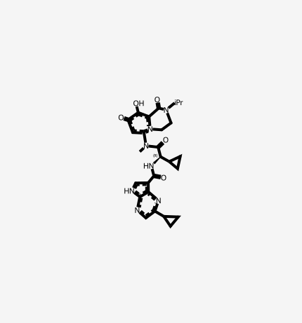 CC(C)N1CCn2c(N(C)C(=O)[C@H](NC(=O)c3c[nH]c4ncc(C5CC5)nc34)C3CC3)cc(=O)c(O)c2C1=O